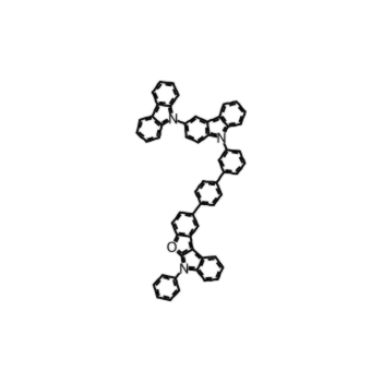 c1ccc(-n2c3ccccc3c3c4cc(-c5ccc(-c6cccc(-n7c8ccccc8c8cc(-n9c%10ccccc%10c%10ccccc%109)ccc87)c6)cc5)ccc4oc32)cc1